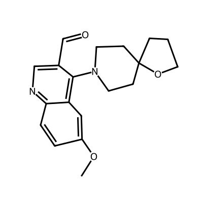 COc1ccc2ncc(C=O)c(N3CCC4(CCCO4)CC3)c2c1